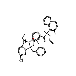 C=CCC(C)(C(=C)/C=C(C)/C=C1/N(CC)c2ccc(Cl)cc2C1(Cc1ccccc1)Cc1ccccc1)c1c(C)ccc2ccccc12